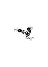 O=C(O)Cn1cnc2c(-n3ncc4c(Cl)cccc43)nc(N3CCN(c4ccc(O)cc4)CC3)nc21